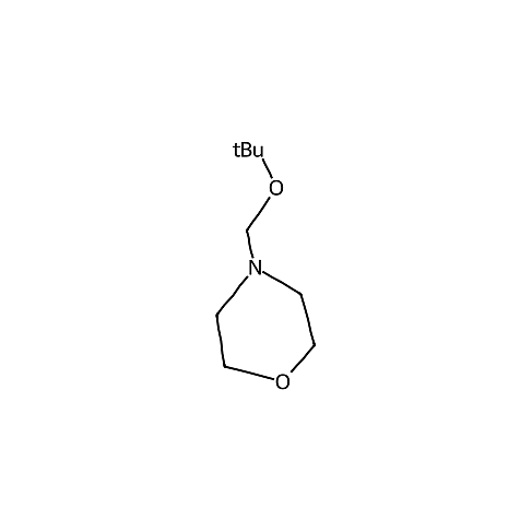 CC(C)(C)OCN1CCOCC1